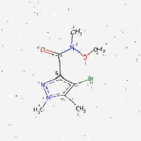 CON(C)C(=O)c1nn(C)c(C)c1Br